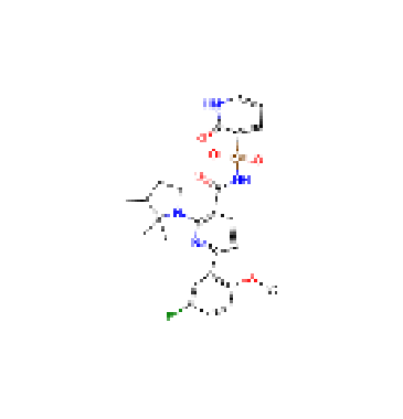 CCOc1ccc(F)cc1-c1ccc(C(=O)NS(=O)(=O)c2ccc[nH]c2=O)c(N2CCC(C)C2(C)C)n1